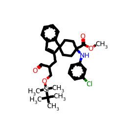 COC(=O)C1(Nc2cccc(Cl)c2)CCC2(CC1)C(CC(C=O)CO[Si](C)(C)C(C)(C)C)=Cc1ccccc12